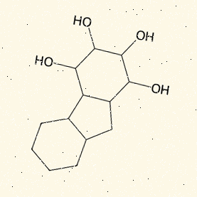 OC1C(O)C(O)C2C3CCCCC3CC2C1O